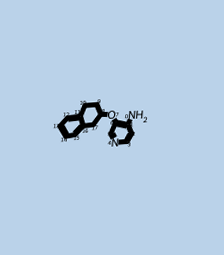 Nc1ccncc1OC1CCc2ccccc2C1